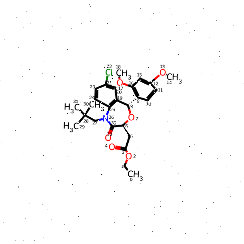 CCOC(=O)C[C@@H]1O[C@@H](c2ccc(OC)cc2OC)c2cc(Cl)ccc2N(CC(C)(C)C)C1=O